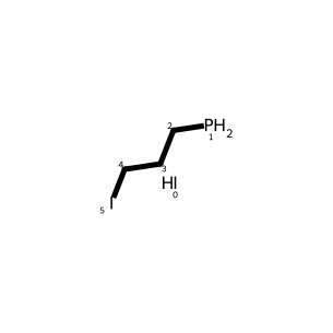 I.PCCCI